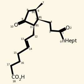 CCCCCCCC(=O)CC[C@@H]1[C@H](C)CC(=O)[C@@H]1CC=CCCCC(=O)O